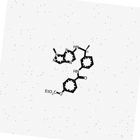 CCOC(=O)Oc1ccc(C(=O)Nc2cccc([C@H](C)Nc3cnc4cnn(C)c4n3)c2)cc1